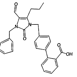 CCCc1c(C=O)n(Cc2ccccc2)c(=O)n1Cc1ccc(-c2ccccc2C(=O)O)cc1